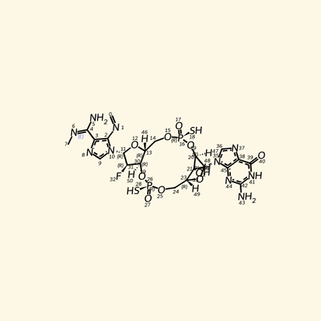 C=Nc1c(/C(N)=N\C)ncn1[C@@H]1O[C@@H]2CO[P@@](=O)(S)O[C@@H]3[C@H](O)[C@@H](CO[P@@](=O)(S)O[C@H]2[C@H]1F)O[C@H]3n1cnc2c(=O)[nH]c(N)nc21